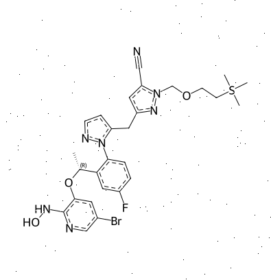 C[C@@H](Oc1cc(Br)cnc1NO)c1cc(F)ccc1-n1nccc1Cc1cc(C#N)n(COCCS(C)(C)C)n1